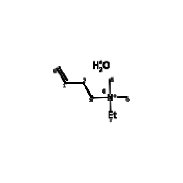 C=CCC[N+](C)(C)CC.O